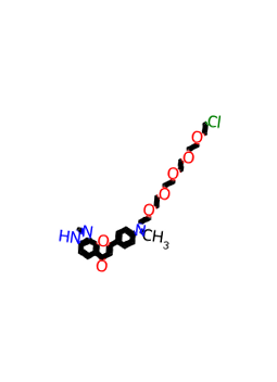 CN(CCOCCOCCOCCOCCOCCCl)c1ccc(-c2cc(=O)c3ccc4[nH]cnc4c3o2)cc1